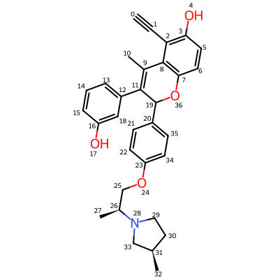 C#Cc1c(O)ccc2c1C(C)=C(c1cccc(O)c1)C(c1ccc(OC[C@H](C)N3CC[C@@H](C)C3)cc1)O2